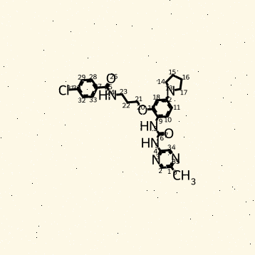 Cc1cnc(NC(=O)Nc2ccc(N3CCCC3)cc2OCCCNC(=O)c2ccc(Cl)cc2)cn1